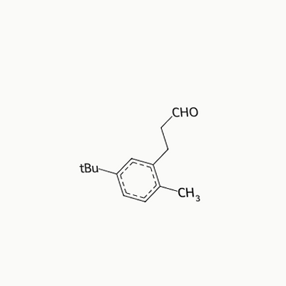 Cc1ccc(C(C)(C)C)cc1CCC=O